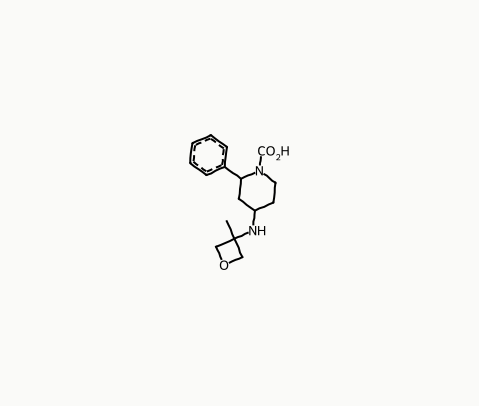 CC1(NC2CCN(C(=O)O)C(c3ccccc3)C2)COC1